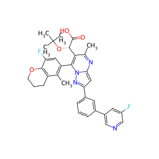 Cc1nc2cc(-c3cccc(-c4cncc(F)c4)c3)nn2c(-c2cc(F)c3c(c2C)CCCO3)c1[C@H](OC(C)(C)C)C(=O)O